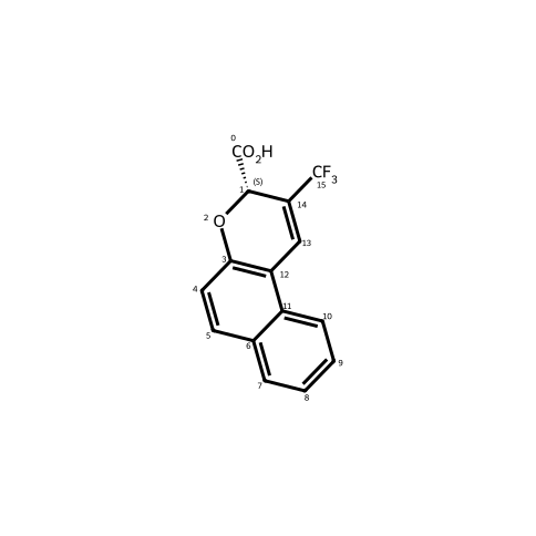 O=C(O)[C@H]1Oc2ccc3ccccc3c2C=C1C(F)(F)F